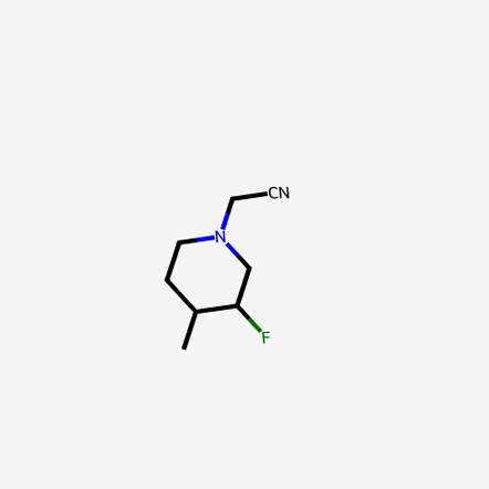 CC1CCN(CC#N)CC1F